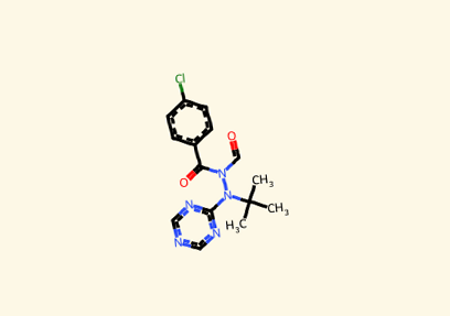 CC(C)(C)N(c1ncncn1)N(C=O)C(=O)c1ccc(Cl)cc1